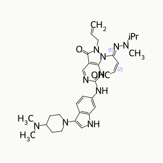 C=CCn1c(=O)c2cnc(Nc3ccc4c(N5CCC(N(C)C)CC5)c[nH]c4c3)nc2n1C(/C=C\C=O)=N/N(C)C(C)C